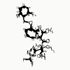 Cc1nc2c(OCc3c(F)cccc3F)cccn2c1C(=O)N[C@](C)(CO)c1nnn(C(F)F)n1